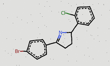 Clc1ccccc1C1CCC(c2ccc(Br)cc2)=N1